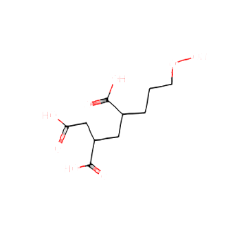 O=C(O)CC(CC(CCCOO)C(=O)O)C(=O)O